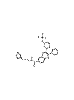 O=C(NCCCn1ccnc1)c1ccc2nc(-c3ccccc3)c(-c3cccc(OC(F)(F)F)c3)nc2c1